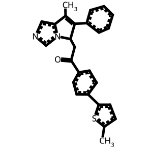 CC1=C(c2ccccc2)C(CC(=O)c2ccc(-c3ccc(C)s3)cc2)n2cncc21